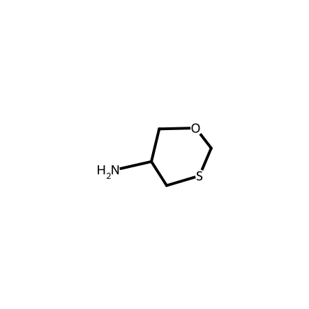 NC1COCSC1